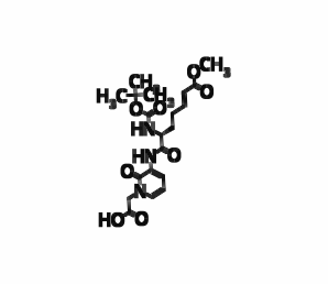 COC(=O)/C=C/CC[C@H](NC(=O)OC(C)(C)C)C(=O)Nc1cccn(CC(=O)O)c1=O